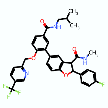 CNC(=O)C1c2cc(-c3cc(C(=O)NCC(C)C)ccc3OCc3ccc(C(F)(F)F)cn3)ccc2OC1c1ccc(F)cc1